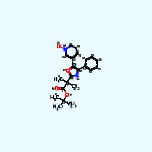 CC(C)(C)OC(=O)C(C)(C)c1nc(-c2ccccc2)c(-c2ccc[n+]([O-])c2)o1